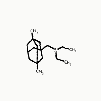 CCN(CC)CC12CC3CC(C)(CC(C)(C3)C1)C2